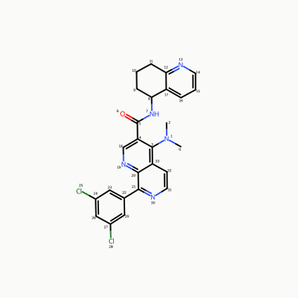 CN(C)c1c(C(=O)NC2CCCc3ncccc32)cnc2c(-c3cc(Cl)cc(Cl)c3)nccc12